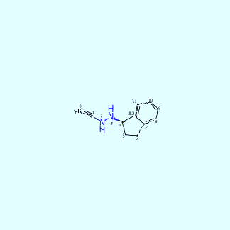 C#CNN[C@@H]1CCc2ccccc21